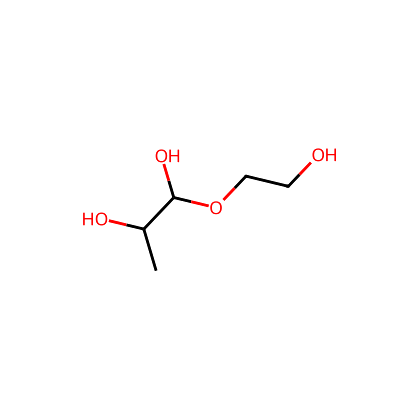 CC(O)C(O)OCCO